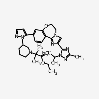 CCOC(=O)C(C)(C)N1CCCC(n2nccc2-c2ccc3c(c2)OCCn2cc(-c4nc(C)nn4C(C)C)nc2-3)C1